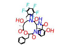 C[C@H]1NC(=O)C(Cc2ccccc2)OC(=O)[C@H](C)[C@H](O)[C@H](Cc2c(F)c(F)c(F)c(F)c2F)NC(=O)[C@H]1NC(=O)c1ccccc1O